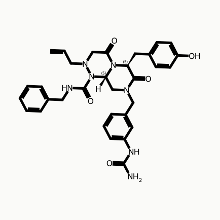 C=CCN1CC(=O)N2[C@@H](Cc3ccc(O)cc3)C(=O)N(Cc3cccc(NC(N)=O)c3)C[C@@H]2N1C(=O)NCc1ccccc1